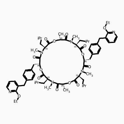 CCOc1ncccc1Cc1ccc(C[C@H]2OC(=O)[C@H](CC(C)C)N(C)C(=O)[C@@H](C)OC(=O)[C@H](CC(C)C)N(C)C(=O)[C@@H](Cc3ccc(Cc4cccnc4OCC)cc3)OC(=O)[C@H](CC(C)C)N(C)C(=O)[C@@H](C)OC(=O)[C@H](CC(C)C)N(C)C2=O)cc1